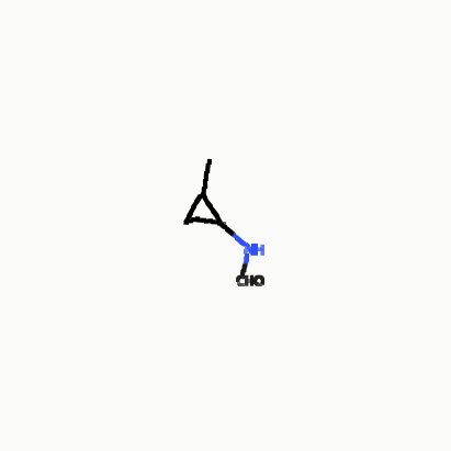 CC1C[C]1NC=O